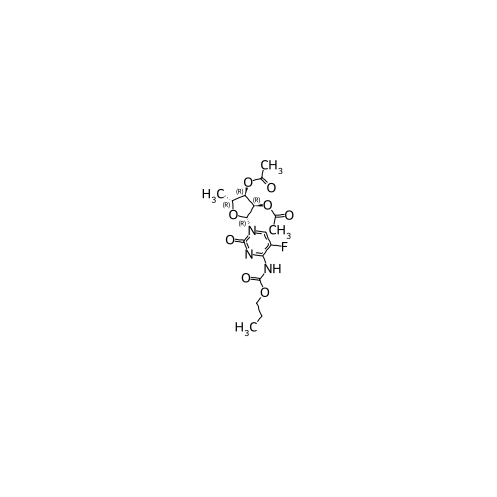 CCCOC(=O)Nc1nc(=O)n([C@@H]2O[C@H](C)[C@@H](OC(C)=O)[C@H]2OC(C)=O)cc1F